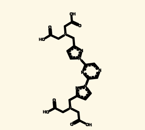 O=C(O)CN(CC(=O)O)Cc1ccn(-c2cncc(-n3ccc(CN(CC(=O)O)CC(=O)O)n3)n2)n1